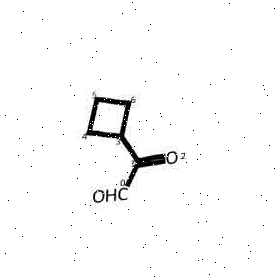 O=CC(=O)C1CCC1